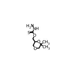 CC1(C)COCC(COC(=S)NN)O1